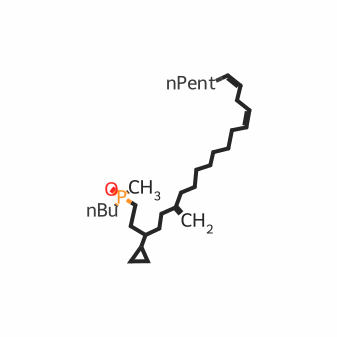 C=C(CCCCCCC/C=C\C/C=C\CCCCC)CCC(CCP(C)(=O)CCCC)C1CC1